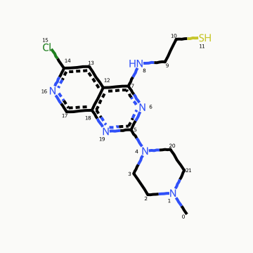 CN1CCN(c2nc(NCCS)c3cc(Cl)ncc3n2)CC1